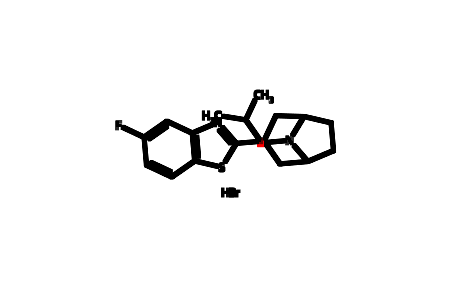 Br.CC(C)CN1C2CCC1CC(c1nc3cc(F)ccc3s1)C2